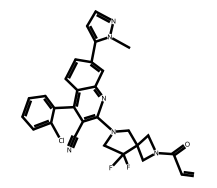 C=CC(=O)N1CC2(C1)CN(c1nc3cc(-c4ccnn4C)ccc3c(-c3ccccc3Cl)c1C#N)CC2(F)F